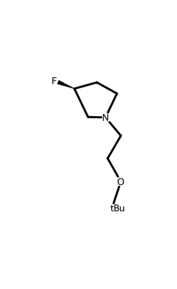 CC(C)(C)OCCN1CC[C@H](F)C1